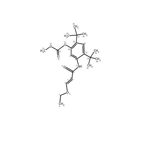 CCO/C=C/C(=O)Nc1cc(OC(=O)OC)c(C(C)(C)C)cc1C(C)(C)C